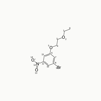 CCOCCOc1cc(Br)cc([N+](=O)[O-])c1